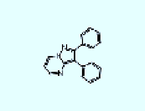 c1ccc(-c2nn3cccnc3c2-c2ccccc2)cc1